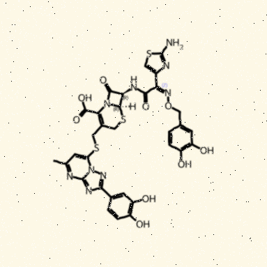 Cc1cc(SCC2=C(C(=O)O)N3C(=O)[C@@H](NC(=O)/C(=N\OCc4ccc(O)c(O)c4)c4csc(N)n4)[C@H]3SC2)n2nc(-c3ccc(O)c(O)c3)nc2n1